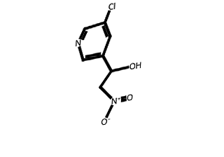 O=[N+]([O-])CC(O)c1cncc(Cl)c1